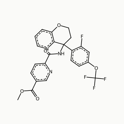 COC(=O)c1ccc(C(=O)NC2(c3ccc(OC(F)(F)F)cc3F)CCOc3cccnc32)nc1